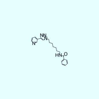 O=C(NCCCCCCCn1cc(-c2cccnc2)nn1)c1ccccc1